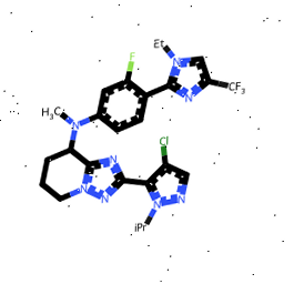 CCn1cc(C(F)(F)F)nc1-c1ccc(N(C)C2CCCn3nc(-c4c(Cl)cnn4C(C)C)nc32)cc1F